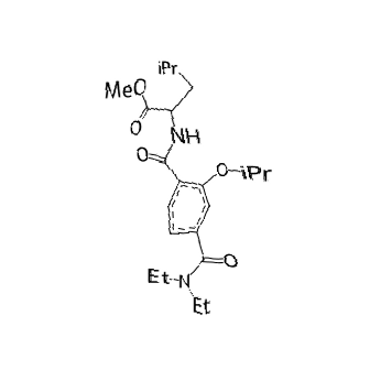 CCN(CC)C(=O)c1ccc(C(=O)NC(CC(C)C)C(=O)OC)c(OC(C)C)c1